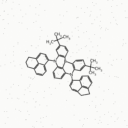 CC(C)(C)c1ccc2c(c1)N(c1ccc3c4c(cccc14)CCC3)c1cccc3c1B2c1ccc(C(C)(C)C)cc1N3c1ccc2c3c(cccc13)CC2